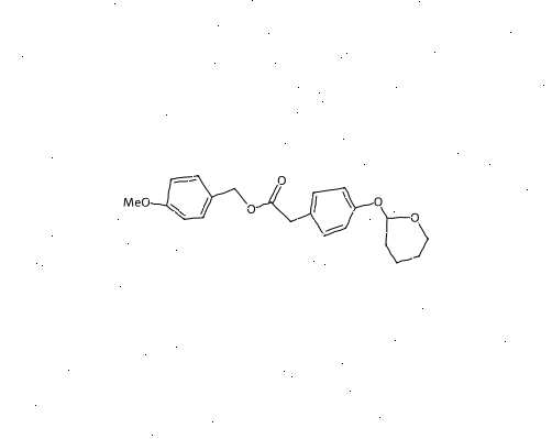 COc1ccc(COC(=O)Cc2ccc(OC3CCCCO3)cc2)cc1